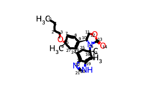 CCCCO[C@@]1(C)C=CC([C@H]2COC(=O)N2[C@@]2(C)C=c3[nH]cnc3=CC2)=CC1